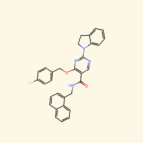 O=C(NCc1cccc2ccccc12)c1cnc(N2CCc3ccccc32)nc1OCc1ccc(F)cc1